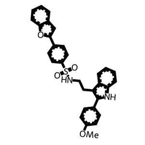 COc1ccc(-c2[nH]c3ccccc3c2CCNS(=O)(=O)c2ccc(-c3cc4ccccc4o3)cc2)cc1